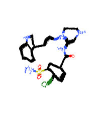 NS(=O)(=O)c1cc(C(=O)NC2CNCCN2CCc2c[nH]c3ccccc23)ccc1Cl